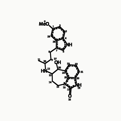 COc1ccc2[nH]cc(CCC(C)NC3CCn4c(=O)[nH]c5cccc(c54)C3O)c2c1